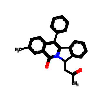 CC(=O)CC1c2ccccc2-c2c(-c3ccccc3)c3ccc(C)cc3c(=O)n21